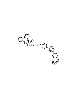 CCc1ccccc1-n1c(C)cs/c1=N\C(=O)NC(C)CCCc1ccc(-c2ncn(-c3ccc(OC(F)(F)F)cc3)n2)cc1